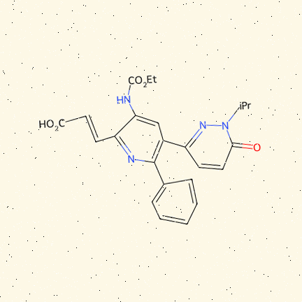 CCOC(=O)Nc1cc(-c2ccc(=O)n(C(C)C)n2)c(-c2ccccc2)nc1/C=C/C(=O)O